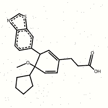 COC1(C2CCCC2)C=CC(CCC(=O)O)=CC1c1ccc2ncsc2c1